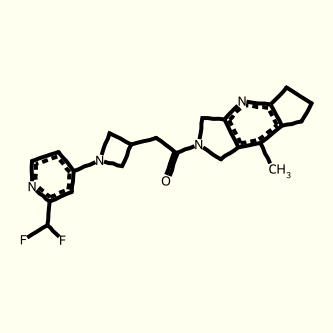 Cc1c2c(nc3c1CN(C(=O)CC1CN(c4ccnc(C(F)F)c4)C1)C3)CCC2